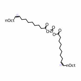 CCCCCCCC/C=C\CCCCCCCC(=O)[O][Zr](=[O])[O]C(=O)CCCCCCC/C=C\CCCCCCCC